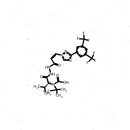 CC(C)[C@@H](C(=O)NNC(=O)/C=C\n1cnc(-c2cc(C(F)(F)F)cc(C(F)(F)F)c2)n1)N(C(=O)O)C(C)(C)C